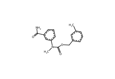 Cc1cccc(COC(=O)N(C)c2cccc(C(N)=O)c2)c1